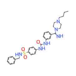 CCCCN1CCN(C(=N)c2cccc(NC(=O)Nc3ccc(S(=O)(=O)NCc4ccccc4)cc3)c2)CC1